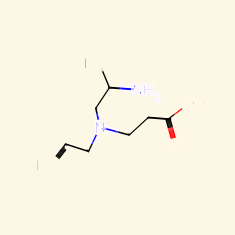 C=CCN(CCC(=O)O)CC(C)N